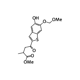 COCOc1cc2sc(C(=O)CC(C)C(=O)OC)cc2cc1O